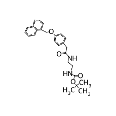 CC(C)(C)OC(=O)NCCNC(=O)Cc1ccc(OCc2cccc3ccccc23)cc1